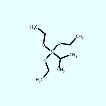 CCO[Si](OCC)(OCC)C(C)C